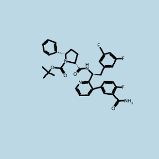 CC(C)(C)OC(=O)N1[C@@H](C(=O)N[C@@H](Cc2cc(F)cc(F)c2)c2ncccc2-c2ccc(F)c(C(N)=O)c2)CC[C@H]1c1ccccc1